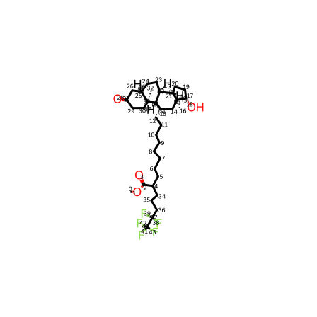 COC(=O)C(CCCCCCCC[C@H]1C[C@]2(C)[C@@H](O)CC[C@H]2[C@@H]2CC[C@H]3CC(=O)CC[C@]3(C)[C@@H]12)CCCC(F)(F)C(F)(F)F